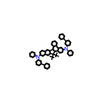 CC(C)(C)C1(C(C)(C)C)c2cc3cc(N(c4ccccc4)c4cccc(-c5ccccc5)c4)ccc3cc2-c2c1c1ccc(N(c3ccccc3)c3cccc(-c4ccccc4)c3)cc1c1ccccc21